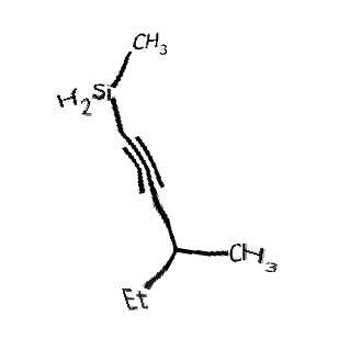 CCC(C)C#C[SiH2]C